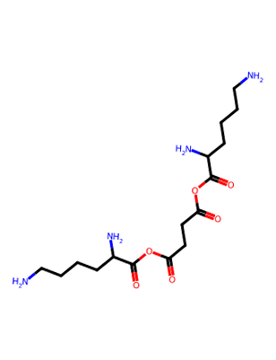 NCCCCC(N)C(=O)OC(=O)CCC(=O)OC(=O)C(N)CCCCN